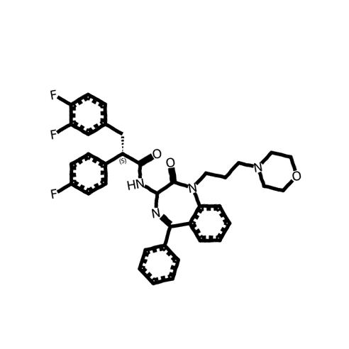 O=C(NC1N=C(c2ccccc2)c2ccccc2N(CCCN2CCOCC2)C1=O)[C@@H](Cc1ccc(F)c(F)c1)c1ccc(F)cc1